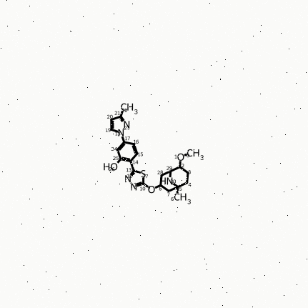 COC1CCC2(C)CC(Oc3nnc(-c4ccc(-n5ccc(C)n5)cc4O)s3)CC1N2